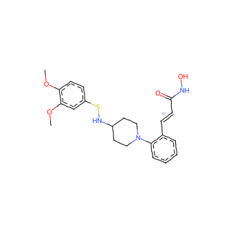 COc1ccc(SNC2CCN(c3ccccc3/C=C/C(=O)NO)CC2)cc1OC